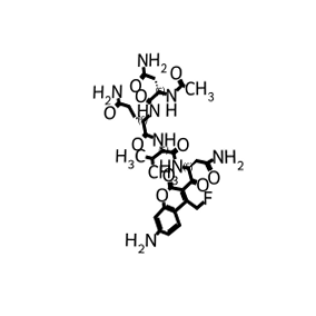 CC(=O)N[C@@H](CC(N)=O)C(=O)N[C@@H](CCC(N)=O)C(=O)N[C@H](C(=O)N[C@@H](CC(N)=O)C(=O)c1c(CF)c2ccc(N)cc2oc1=O)C(C)C